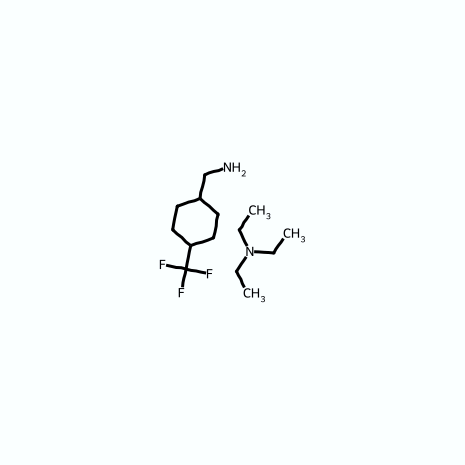 CCN(CC)CC.NCC1CCC(C(F)(F)F)CC1